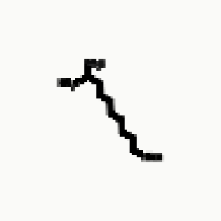 CCCCCCCCCCCCCCC/C=C/C(C(=O)O)C(=O)O